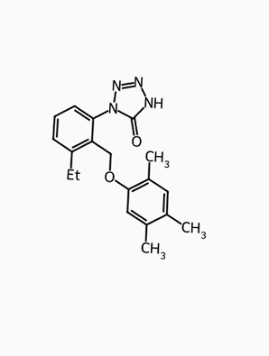 CCc1cccc(-n2nn[nH]c2=O)c1COc1cc(C)c(C)cc1C